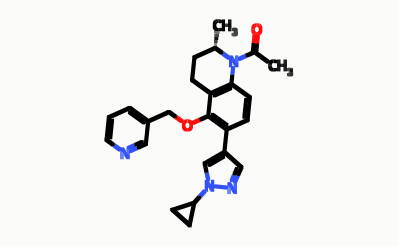 CC(=O)N1c2ccc(-c3cnn(C4CC4)c3)c(OCc3cccnc3)c2CC[C@@H]1C